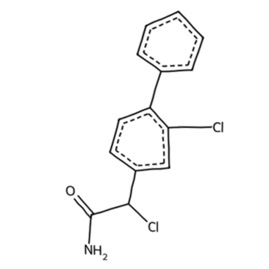 NC(=O)C(Cl)c1ccc(-c2ccccc2)c(Cl)c1